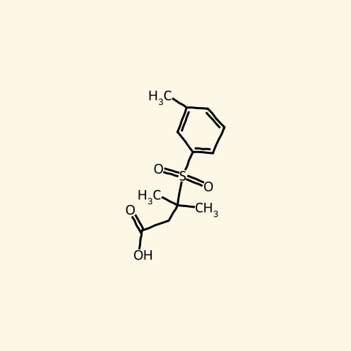 Cc1cccc(S(=O)(=O)C(C)(C)CC(=O)O)c1